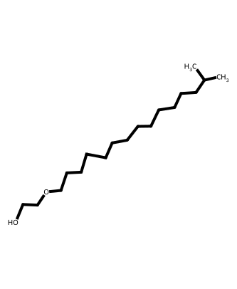 CC(C)CCCCCCCCCCCCCOCCO